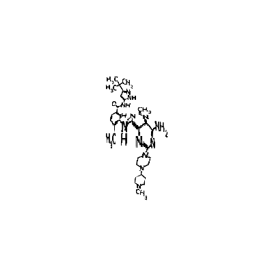 C=C/N=C1/C(N)=NC(N2CCN(C3CCN(C)CC3)CC2)=N/C1=C(/N)Nc1cc(C(=O)Nc2cc(C(C)(C)C)n[nH]2)ccc1C